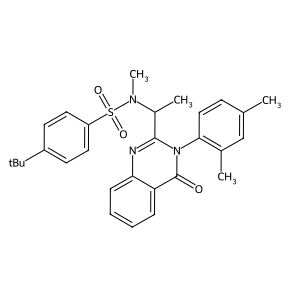 Cc1ccc(-n2c(C(C)N(C)S(=O)(=O)c3ccc(C(C)(C)C)cc3)nc3ccccc3c2=O)c(C)c1